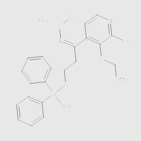 COCOc1c(/C(CCO[Si](c2ccccc2)(c2ccccc2)C(C)(C)C)=N\[S@@+]([O-])C(C)(C)C)ccnc1Cl